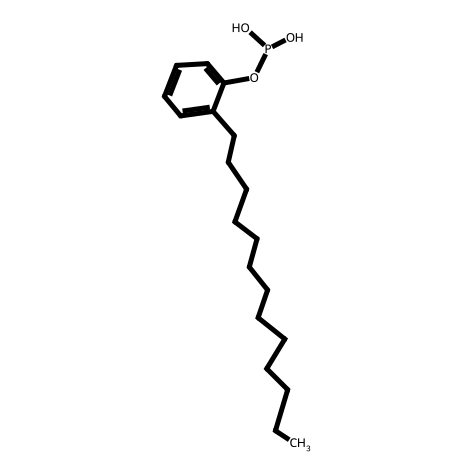 CCCCCCCCCCCCCc1ccccc1OP(O)O